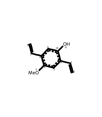 C=Cc1cc(OC)c(C=C)cc1O